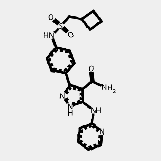 NC(=O)c1c(-c2ccc(NS(=O)(=O)CC3CCC3)cc2)n[nH]c1Nc1ccccn1